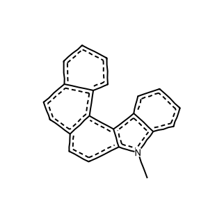 Cn1c2ccccc2c2c3c(ccc4ccccc43)ccc21